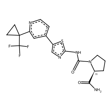 NC(=O)[C@@H]1CCCN1C(=O)Nc1ncc(-c2ccnc(C3(C(F)(F)F)CC3)c2)s1